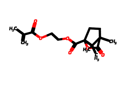 C=C(C)C(=O)OCCOC(=O)C12CCC(C)(C(=O)O1)C2(C)C